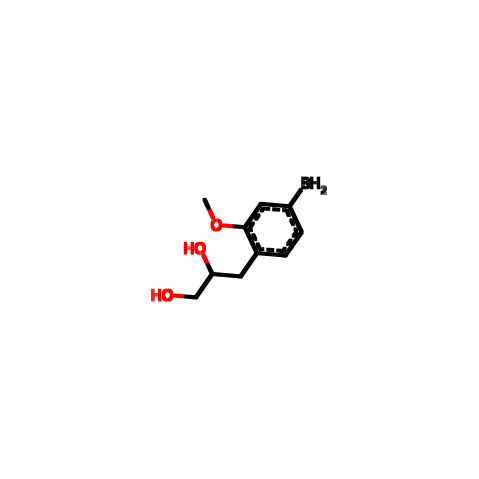 Bc1ccc(CC(O)CO)c(OC)c1